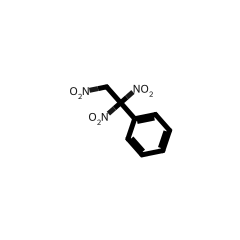 O=[N+]([O-])CC(c1ccccc1)([N+](=O)[O-])[N+](=O)[O-]